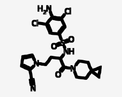 N#Cc1cccn1CCC(NS(=O)(=O)c1cc(Cl)c(N)c(Cl)c1)C(=O)N1CCC2(CC1)CC2